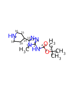 Cn1c(NC(=O)OC(C)(C)C)nnc1C1CCNCC1